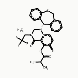 CC(C)C(=O)Oc1c2n(ccc1=O)N([C@H]1c3ccccc3CSc3ccccc31)CN([C@@H](C)C(F)(F)F)C2=O